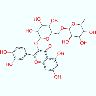 CC1O[C@H](OCC2OC(Oc3c(-c4ccc(O)c(O)c4)oc4cc(O)cc(O)c4c3=O)C(O)C(O)C2O)[C@H](O)C(O)C1O